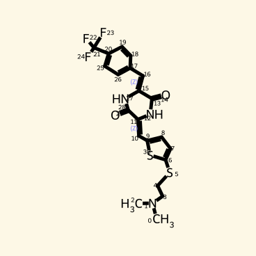 CN(C)CCSc1ccc(/C=c2\[nH]c(=O)/c(=C/c3ccc(C(F)(F)F)cc3)[nH]c2=O)s1